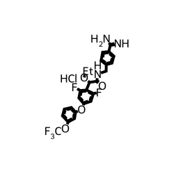 CCOC(C(=O)NCc1ccc(C(=N)N)cc1)c1c(F)cc(Oc2cccc(OC(F)(F)F)c2)cc1F.Cl